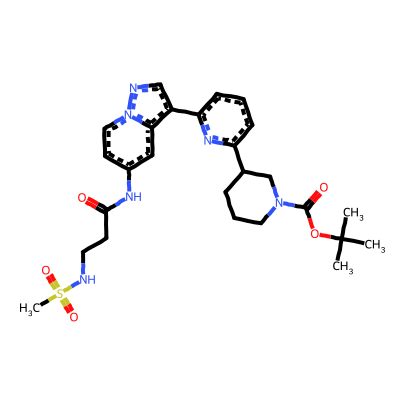 CC(C)(C)OC(=O)N1CCCC(c2cccc(-c3cnn4ccc(NC(=O)CCNS(C)(=O)=O)cc34)n2)C1